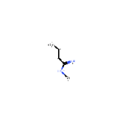 CCNC(=N)CCC(Cl)(Cl)Cl